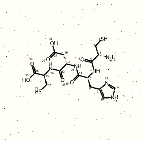 N[C@@H](CS)C(=O)N[C@@H](Cc1c[nH]cn1)C(=O)N[C@@H](CC(=O)O)C(=O)N[C@@H](CS)C(=O)O